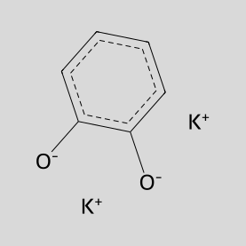 [K+].[K+].[O-]c1ccccc1[O-]